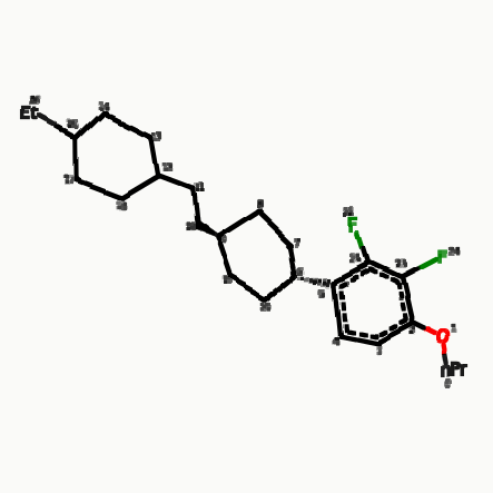 CCCOc1ccc([C@H]2CC[C@H](CCC3CCC(CC)CC3)CC2)c(F)c1F